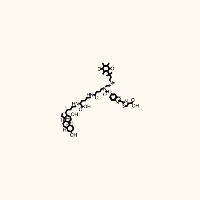 CC1=C(C)C(=O)C(C(C)(C)CCN(C)CCN(CCCC(=O)NCCCCC(NCCC[C@@H](C)[C@H]2CC[C@H]3[C@@H]4CC[C@@H]5C[C@H](O)CC[C@]5(C)[C@H]4C[C@H](O)[C@]23C)C(=O)O)C(=O)Oc2ccc3nc(C4=NC(C(=O)O)CS4)sc3c2)=C(C)C1=O